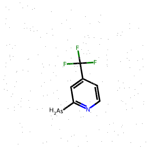 FC(F)(F)c1ccnc([AsH2])c1